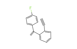 C#Cc1ccccc1C(=C)c1ccc(F)cc1